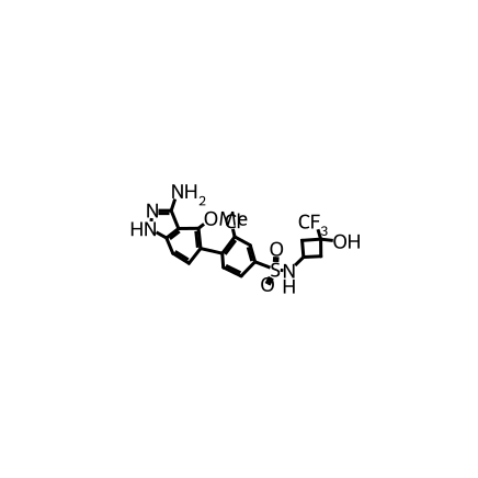 COc1c(-c2ccc(S(=O)(=O)NC3CC(O)(C(F)(F)F)C3)cc2Cl)ccc2[nH]nc(N)c12